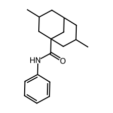 CC1CC2CC(C)CC(C(=O)Nc3ccccc3)(C1)C2